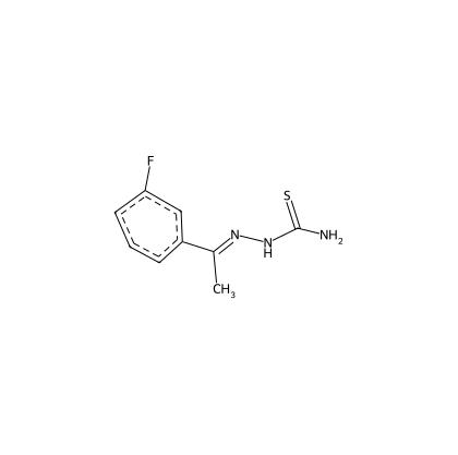 CC(=NNC(N)=S)c1cccc(F)c1